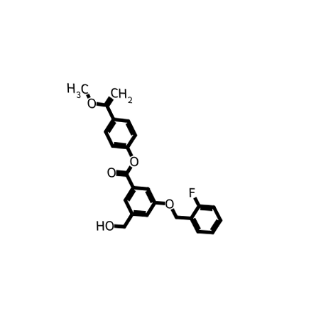 C=C(OC)c1ccc(OC(=O)c2cc(CO)cc(OCc3ccccc3F)c2)cc1